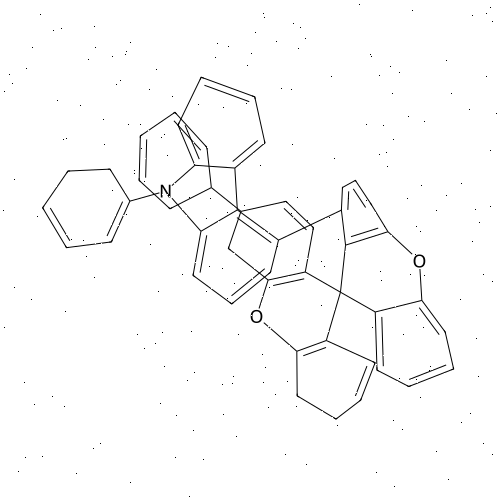 C1=CCCC(n2c3ccccc3c3c(-c4cccc5c4C4(C6=C(CCC=C6)OC6=C4C=CC(C4C=CC=CC4)C6)c4ccccc4O5)cccc32)=C1